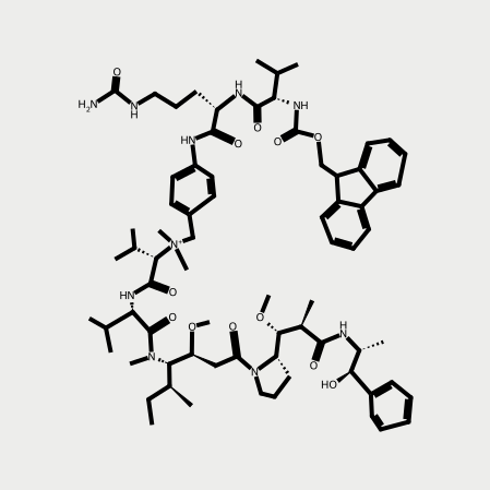 CC[C@H](C)[C@@H]([C@H](CC(=O)N1CCC[C@H]1[C@H](OC)[C@@H](C)C(=O)N[C@H](C)[C@H](O)c1ccccc1)OC)N(C)C(=O)[C@@H](NC(=O)[C@H](C(C)C)[N+](C)(C)Cc1ccc(NC(=O)[C@H](CCCNC(N)=O)NC(=O)[C@@H](NC(=O)OCC2c3ccccc3-c3ccccc32)C(C)C)cc1)C(C)C